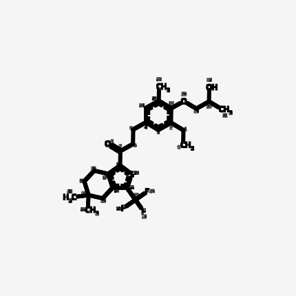 CCc1cc(CCC(=O)c2sc(C(F)(F)F)c3c2CCC(C)(C)C3)cc(C)c1OCC(C)O